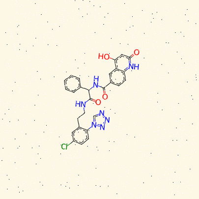 O=C(NC(C(=O)NCCc1cc(Cl)ccc1-n1cnnn1)c1ccccc1)c1ccc2[nH]c(=O)cc(O)c2c1